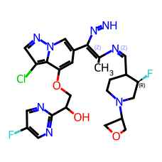 CC(/N=C\C1CCN(C2COC2)C[C@@H]1F)=C(/N=N)c1cc(OCC(O)c2ncc(F)cn2)c2c(Cl)cnn2c1